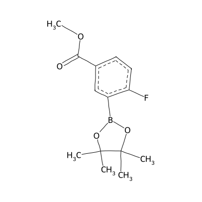 COC(=O)c1ccc(F)c(B2OC(C)(C)C(C)(C)O2)c1